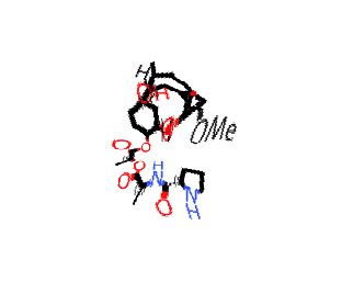 COc1ccc2c3c1O[C@@H]1C[C@@](O)(CC=C1OC(=O)[C@H](C)OC(=O)[C@H](C)NC(=O)[C@@H]1CCCN1)[C@@H](C2)C(C)CCC3